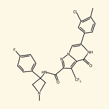 Cc1ccc(-c2cn3nc(C(=O)NC4(c5ccc(F)cc5)CN(C)C4)c(C(F)(F)F)c3c(=O)[nH]2)cc1Cl